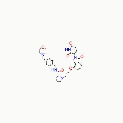 O=C1CCC(N2Cc3c(OCCCN4CCC[C@@H]4C(=O)NCc4ccc(CN5CCOCC5)cc4)cccc3C2=O)C(=O)N1